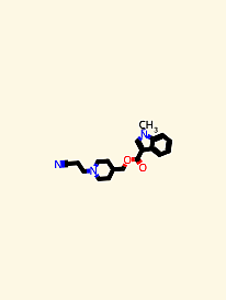 Cn1cc(C(=O)OCC2CCN(CCC#N)CC2)c2ccccc21